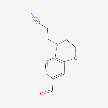 N#CCCN1CCOc2cc(C=O)ccc21